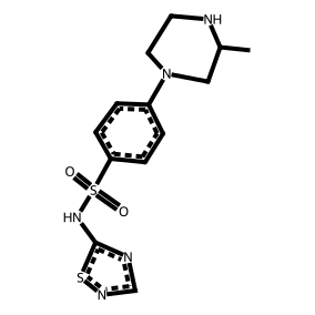 CC1CN(c2ccc(S(=O)(=O)Nc3ncns3)cc2)CCN1